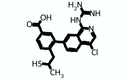 CC(S)Cc1ccc(C(=O)O)cc1-c1ccc2c(Cl)cnc(NC(=N)N)c2c1